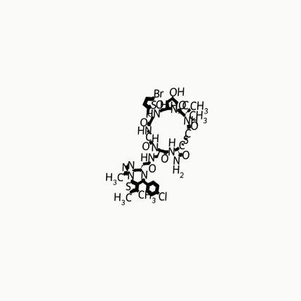 Cc1sc2c(c1C)C(c1ccc(Cl)cc1)=N[C@@H](CC(=O)NC[C@H]1NC(=O)CNC(=O)[C@H](Cc3ccc(Br)s3)NC(=O)[C@@H]3C[C@@H](O)CN3C(=O)[C@H](C(C)(C)C)NC(=O)CSC[C@H](C(N)=O)NC1=O)c1nnc(C)n1-2